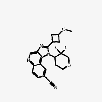 COC1CC(c2nc3cnc4ccc(C#N)cc4c3n2C2CCOCC2(F)F)C1